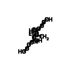 C=CCOCC(CC)(COCC(CC)(CO)COCCOCCOCCO)COCC(CC)(CO)COCCOCCOCCO